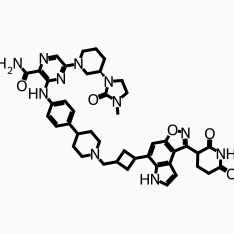 CN1CCN([C@@H]2CCCN(c3cnc(C(N)=O)c(Nc4ccc(C5CCN(CC6CC(c7cc8onc(C9CCC(=O)NC9=O)c8c8cc[nH]c78)C6)CC5)cc4)n3)C2)C1=O